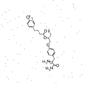 NC(=O)[C@@H](N)Cc1ccc(OCC(CF)OC(=O)CCCc2ccc(C(F)(F)F)cc2)cc1